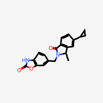 CC1c2cc(C3CC3)ccc2C(=O)N1Cc1ccc2[nH]c(=O)oc2c1